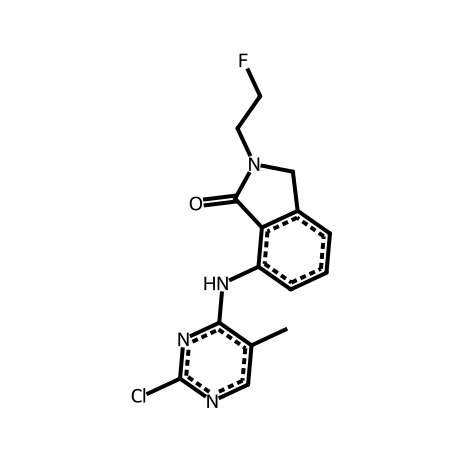 Cc1cnc(Cl)nc1Nc1cccc2c1C(=O)N(CCF)C2